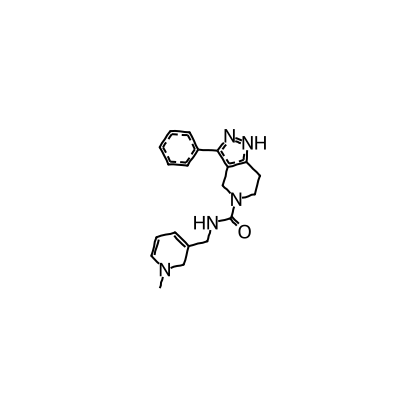 CN1C=CC=C(CNC(=O)N2CCc3[nH]nc(-c4ccccc4)c3C2)C1